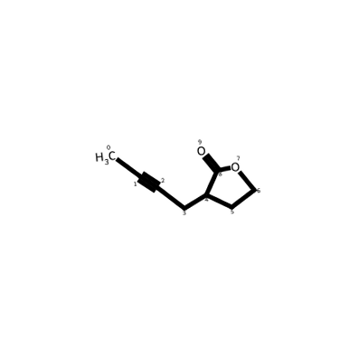 CC#CCC1CCOC1=O